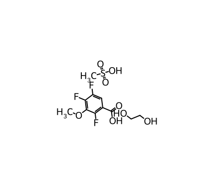 COc1c(F)c(F)cc(C(=O)O)c1F.CS(=O)(=O)O.OCCO